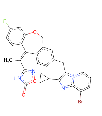 CC(=C1c2ccc(Cc3c(C4CC4)nc4c(Br)cccn34)cc2COc2cc(F)ccc21)c1noc(=O)[nH]1